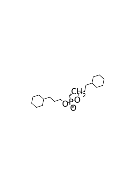 C=CP(=O)(OCCCC1CCCCC1)OCCCC1CCCCC1